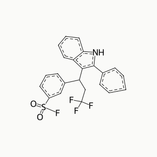 O=S(=O)(F)c1cccc(C(CC(F)(F)F)c2c(-c3ccccc3)[nH]c3ccccc23)c1